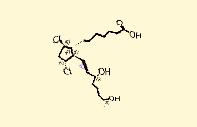 C[C@@H](O)CCC[C@H](O)/C=C/[C@@H]1[C@@H](CCCCCCC(=O)O)[C@H](Cl)C[C@H]1Cl